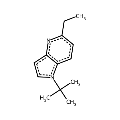 CCc1ccc2c(ccn2C(C)(C)C)n1